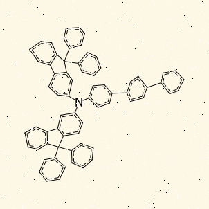 c1ccc(-c2ccc(-c3ccc(N(c4ccc5c(c4)-c4ccccc4C5(c4ccccc4)c4ccccc4)c4ccc5c(c4)C(c4ccccc4)(c4ccccc4)c4ccccc4-5)cc3)cc2)cc1